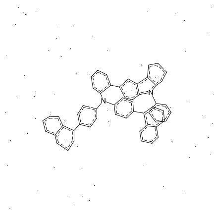 c1ccc(-n2c3ccccc3c3cc(-c4ccccc4N(c4ccc(-c5cccc6ccccc56)cc4)c4ccc(-c5cccc6ccccc56)cc4)ccc32)cc1